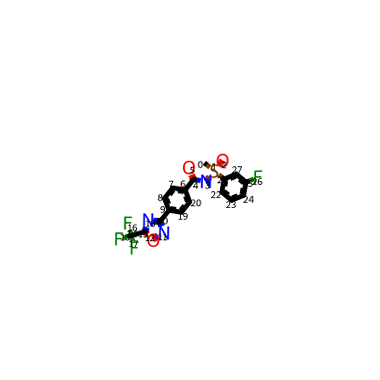 CS(=O)(=NC(=O)c1ccc(-c2noc(C(F)(F)F)n2)cc1)c1cccc(F)c1